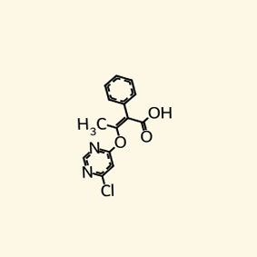 CC(Oc1cc(Cl)ncn1)=C(C(=O)O)c1ccccc1